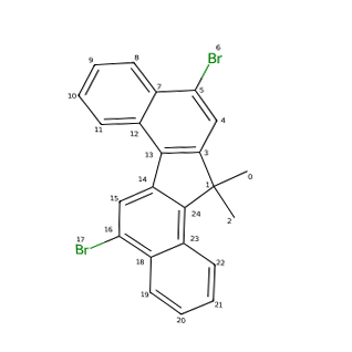 CC1(C)c2cc(Br)c3ccccc3c2-c2cc(Br)c3ccccc3c21